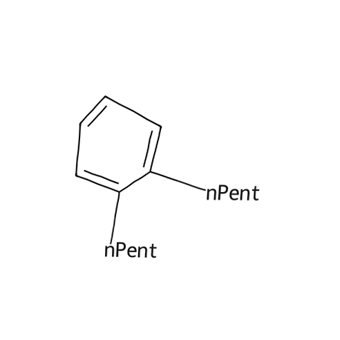 CCCCCc1ccccc1CCCCC